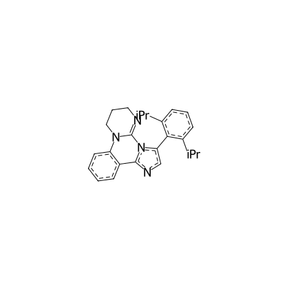 CC(C)c1cccc(C(C)C)c1-c1cnc2n1C1=NCCCN1c1ccccc1-2